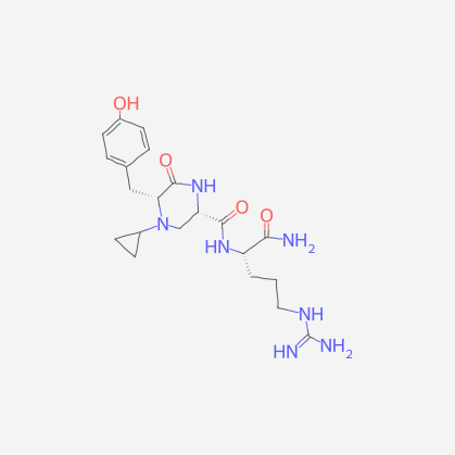 N=C(N)NCCC[C@H](NC(=O)[C@@H]1CN(C2CC2)[C@H](Cc2ccc(O)cc2)C(=O)N1)C(N)=O